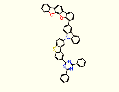 c1ccc(-c2nc(-c3ccccc3)nc(-c3ccc4sc5ccc(-n6c7ccccc7c7cc(-c8cccc9c8oc8c9ccc9c%10ccccc%10oc98)ccc76)cc5c4c3)n2)cc1